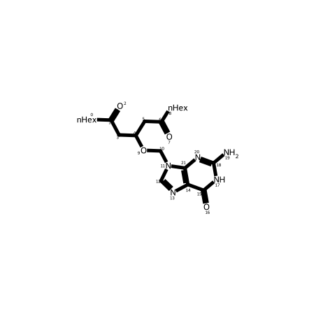 CCCCCCC(=O)CC(CC(=O)CCCCCC)OCn1cnc2c(=O)[nH]c(N)nc21